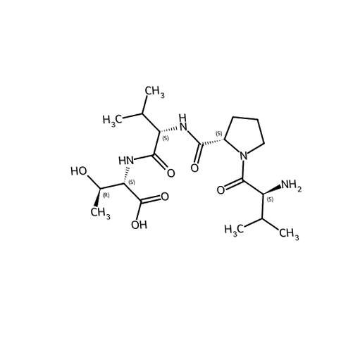 CC(C)[C@H](N)C(=O)N1CCC[C@H]1C(=O)N[C@H](C(=O)N[C@H](C(=O)O)[C@@H](C)O)C(C)C